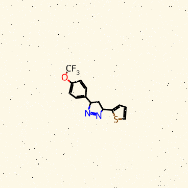 FC(F)(F)Oc1ccc(C2CC(c3cccs3)N=N2)cc1